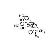 CC(Cc1ccccc1)C(C)Cc1ccccc1.C[C@H](Cc1ccc(O)c(O)c1)[C@@H](C)Cc1ccc(O)c(O)c1